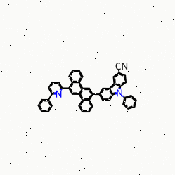 N#Cc1ccc2c(c1)c1cc(-c3cc4c5ccccc5c(-c5cccc(-c6ccccc6)n5)cc4c4ccccc34)ccc1n2-c1ccccc1